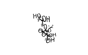 CCOC1=C(OCC(O)CO)C(=O)O[C@@H]1[C@@H](O)CO